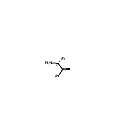 C=C(C(C)C)[C@H](N)C(C)C